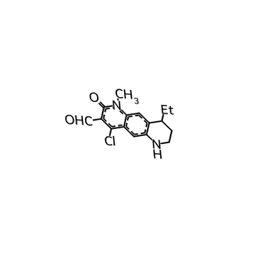 CCC1CCNc2cc3c(Cl)c(C=O)c(=O)n(C)c3cc21